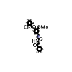 COc1cc(/C=C/C(=O)NOC(=O)C2CCCCC2)ccc1OCc1ccccc1Cl